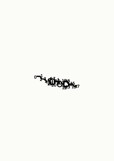 CCCCC[SiH]1CCC(COc2ccc(CCC)cc2)CC1